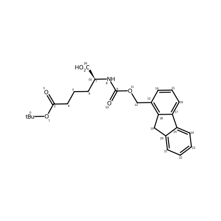 CC(C)(C)OC(=O)CCC[C@H](NC(=O)OCc1cccc2c1Cc1ccccc1-2)C(=O)O